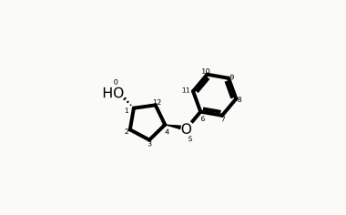 O[C@H]1CC[C@H](Oc2ccccc2)C1